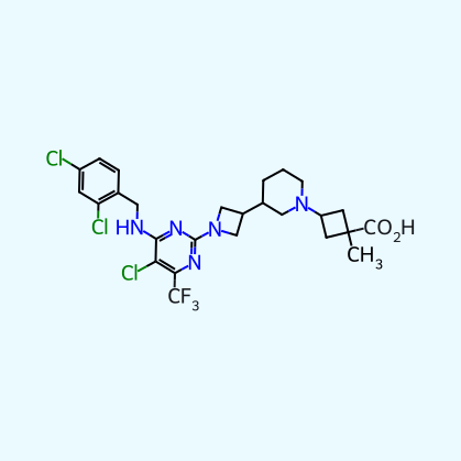 CC1(C(=O)O)CC(N2CCCC(C3CN(c4nc(NCc5ccc(Cl)cc5Cl)c(Cl)c(C(F)(F)F)n4)C3)C2)C1